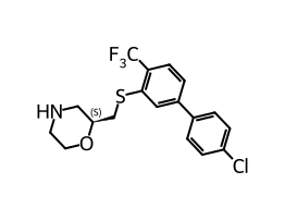 FC(F)(F)c1ccc(-c2ccc(Cl)cc2)cc1SC[C@@H]1CNCCO1